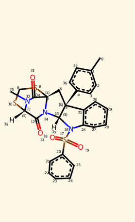 Cc1ccc([C@]23C[C@@]45SCS[C@@H](C(=O)N4[C@H]2N(S(=O)(=O)c2ccccc2)c2ccccc23)N(C)C5=O)cc1